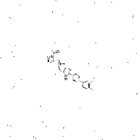 CC(=O)n1nccc1CN1C=Cc2[nH]c(-c3ccc(-c4ccc(C)c(C)c4)cc3)nc2C1